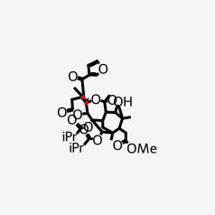 COC(=O)CC1C2(C)COC3(C)OC45CCCC(C)(C(=O)c6ccoc6)C4CC(=O)OC5C4(OC(=O)C(C)C)C(CC1(C)C4OC(=O)C(C)C)C3C2O